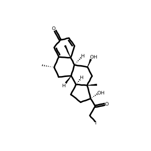 C[C@H]1C[C@@H]2[C@H]([C@@H](O)C[C@@]3(C)[C@H]2CC[C@]3(O)C(=O)CI)[C@@]2(C)C=CC(=O)C=C12